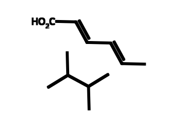 CC(C)C(C)C.CC=CC=CC(=O)O